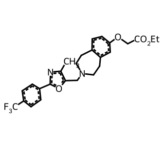 CCOC(=O)COc1ccc2c(c1)CCN(Cc1oc(-c3ccc(C(F)(F)F)cc3)nc1C)CC2